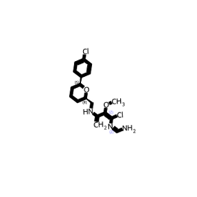 C=C(NC[C@H]1CCC[C@@H](C2C=CC(Cl)=CC2)O1)/C(OC)=C(Cl)\N=C/N